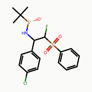 CC(C)(C)[S@+]([O-])NC(c1ccc(Cl)cc1)C(F)S(=O)(=O)c1ccccc1